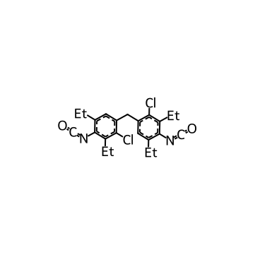 CCc1cc(Cc2cc(CC)c(N=C=O)c(CC)c2Cl)c(Cl)c(CC)c1N=C=O